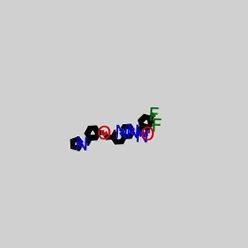 Fc1ccc2c(N3CCN4CC(COc5cccc(CN6CCCC6)c5)CCC4C3)noc2c1F